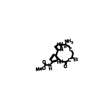 CCC1CCC[C@H](N)c2nc(c[nH]2)-c2ccc(NC(=O)OC)cc2NC(=O)C1